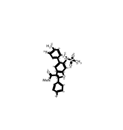 CNC(=O)c1c(-c2ccc(F)cc2)oc2cc(N(C)S(C)(=O)=O)c(-c3ccc(C)c(F)c3)cc12